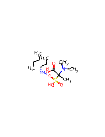 CCCC.CCCN.CN(C)C(C)(C(=O)O)S(=O)(=O)O